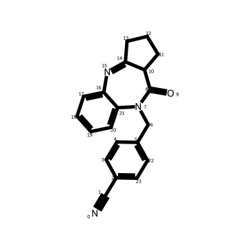 N#Cc1ccc(CN2C(=O)C3CCCC3=Nc3ccccc32)cc1